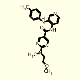 COCCN(C)c1ncc(C(=O)Nc2ccncc2Nc2ccc(C)cc2)cn1